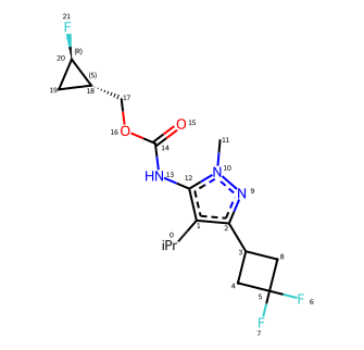 CC(C)c1c(C2CC(F)(F)C2)nn(C)c1NC(=O)OC[C@@H]1C[C@H]1F